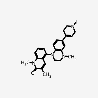 Cc1cc2c(N3CCN(C)c4cc(C5=CCN(I)CC5)ccc43)cccc2n(C)c1=O